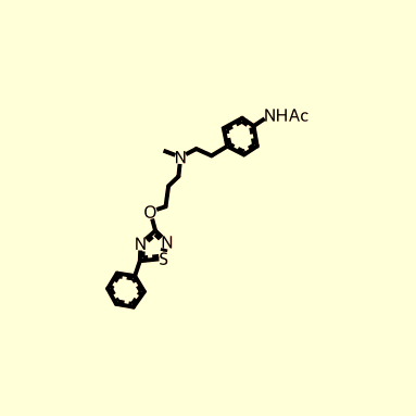 CC(=O)Nc1ccc(CCN(C)CCCOc2nsc(-c3ccccc3)n2)cc1